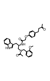 COc1ccccc1CN(CC(Cc1c[nH]c2ccccc12)NC(=O)COc1ccc(CCC(C)=O)cc1)C(C)=O